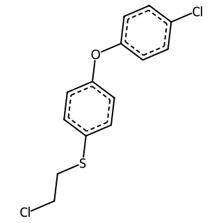 ClCCSc1ccc(Oc2ccc(Cl)cc2)cc1